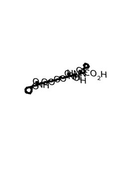 O=C(CCOCCOCCOCCOCCNC(=O)OCC1C2CCC#CCCC21)NCC(=O)NCC(=O)N[C@@H](Cc1ccccc1)C(=O)O